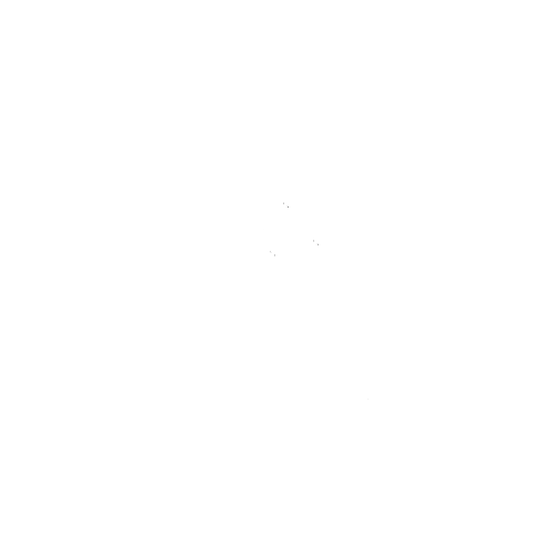 c1ccc2c(c1)ccc1c3ccc(-c4nc(-c5cccc6c5oc5ccccc56)nc(-c5cccc6sc7ccccc7c56)n4)cc3ccc21